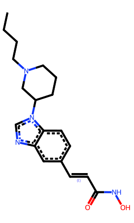 CCCCN1CCCC(n2cnc3cc(/C=C/C(=O)NO)ccc32)C1